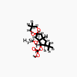 COC(=O)O[C@]1(C)[C@]2(O[SiH3])CC3(C[C@@H]2C[C@@]1(C)C(C)(C)C)OCC(C)(C)CO3